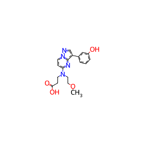 COCCN(CCC(=O)O)c1ccn2ncc(-c3cccc(O)c3)c2n1